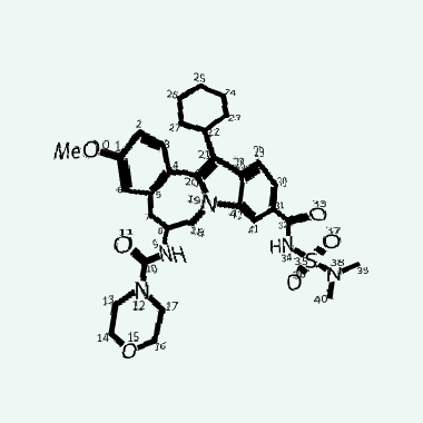 COc1ccc2c(c1)CC(NC(=O)N1CCOCC1)Cn1c-2c(C2CCCCC2)c2ccc(C(=O)NS(=O)(=O)N(C)C)cc21